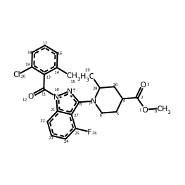 COC(=O)C1CCN(c2nn(C(=O)c3c(C)cccc3Cl)c3cccc(F)c23)C(C)C1